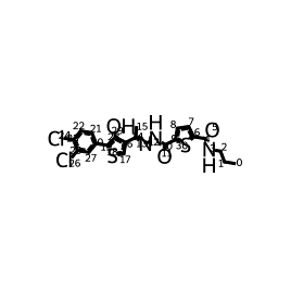 CCCNC(=O)c1ccc(C(=O)N/N=C(\C)c2csc(-c3ccc(Cl)c(Cl)c3)c2O)s1